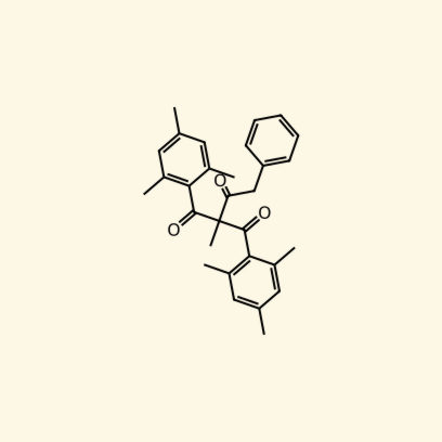 Cc1cc(C)c(C(=O)C(C)(C(=O)Cc2ccccc2)C(=O)c2c(C)cc(C)cc2C)c(C)c1